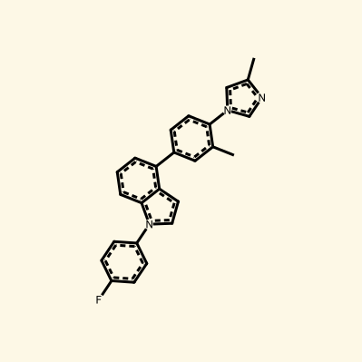 Cc1cn(-c2ccc(-c3cccc4c3ccn4-c3ccc(F)cc3)cc2C)cn1